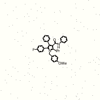 COc1ccc(Cn2c(-c3ccc(F)cc3)c(-c3ccccc3)c(C(=O)Nc3ccccc3)c2C(C)C)cc1